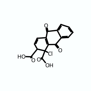 O=C1C2=C(C(=O)c3ccccc31)C(Cl)(C(=O)O)C(C(=O)O)C=C2